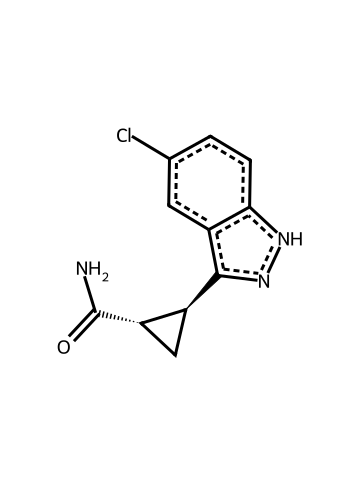 NC(=O)[C@H]1C[C@@H]1c1n[nH]c2ccc(Cl)cc12